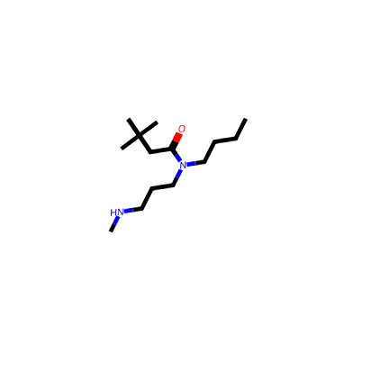 CCCCN(CCCNC)C(=O)CC(C)(C)C